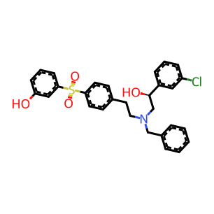 O=S(=O)(c1ccc(CCN(Cc2ccccc2)C[C@@H](O)c2cccc(Cl)c2)cc1)c1cccc(O)c1